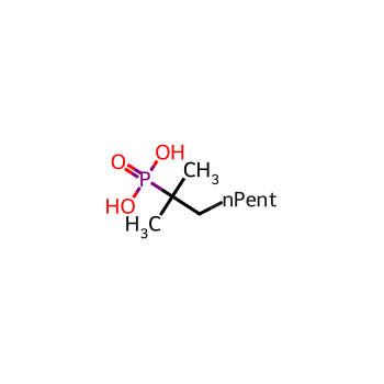 CCCCCCC(C)(C)P(=O)(O)O